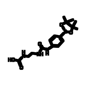 CC1(C)OB(c2ccc(NC(=O)NCCNC(=O)O)cc2)OC1(C)C